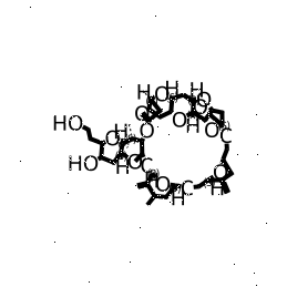 C=C1CC2CC[C@@]34CC5O[C@H]6C(O3)[C@H]3O[C@H](CCC3O[C@H]6C5O4)CC(=O)OC3C(C[C@H]4O[C@@H](CC[C@@H]1O2)CC(C)C4=C)O[C@H]1CC(O)C(CCO)O[C@H]1[C@@H]3C